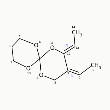 C/C=C1/COC2(OCCCO2)O/C1=C\C